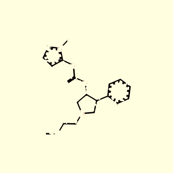 COCCN1CC(c2ccccc2)[C@H](NC(=O)Nc2ccnn2C)C1